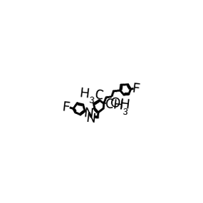 CC1=Cc2c(cnn2-c2ccc(F)cc2)C[C@@]1(C)CC(O)Cc1ccc(F)cc1